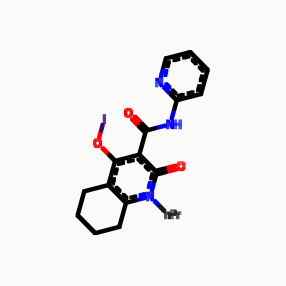 CCCn1c2c(c(OI)c(C(=O)Nc3ccccn3)c1=O)CCCC2